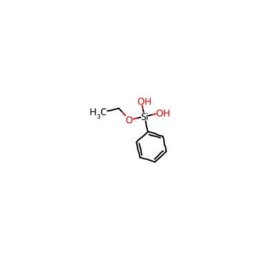 CCO[Si](O)(O)c1ccccc1